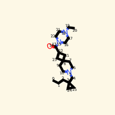 CCCC1(CN2CCC3(CC2)CC(C(=O)N2CCN(CC)CC2)C3)CC1